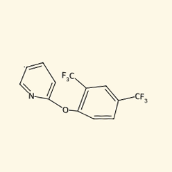 FC(F)(F)c1ccc(Oc2cc[c]cn2)c(C(F)(F)F)c1